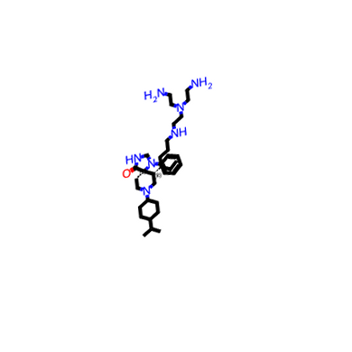 CCC(CCCNCCN(CCN)CCN)[C@@H]1CN(C2CCC(C(C)C)CC2)CC[C@@]12C(=O)NCN2c1ccccc1